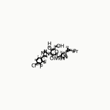 CO[C@@H]1[C@@H](n2cc(-c3ccc(Cl)c(F)c3F)nn2)[C@@H](O)[C@@H](CO)O[C@@H]1Cc1cn([C@@H]2C[C@H]2C(C)C)nn1